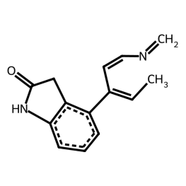 C=N/C=C\C(=C/C)c1cccc2c1CC(=O)N2